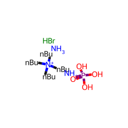 Br.CCCC[N+](CCCC)(CCCC)CCCC.N.N.O=P(O)(O)O